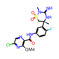 COc1nc(Cl)cnc1C(=O)Nc1ccc(F)c([C@]2(C)CS(=O)(=O)N(C)C(=N)N2)c1